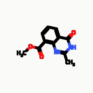 COC(=O)c1cccc2c(=O)[nH]c(C)nc12